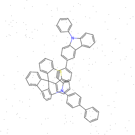 c1c(-c2ccc3c(c2)c2ccccc2n3-c2ccccc2)ccc(N(c2ccc(-c3ccccc3)cc2)c2cccc3c2C2(c4ccccc4Sc4ccccc42)c2ccccc2-3)c#1